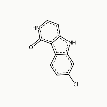 O=c1[nH]ccc2[nH]c3cc(Cl)ccc3c12